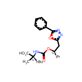 CCCC[C@](C)(NC(=O)O[C@@H](Cc1nnc(-c2ccccc2)o1)C(C)C)C(=O)O